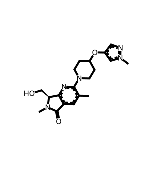 Cc1cc2c(nc1N1CCC(Oc3cnn(C)c3)CC1)[C@H](CO)N(C)C2=O